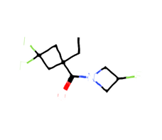 CCC1(C(=O)N2CC(F)C2)CC(F)(F)C1